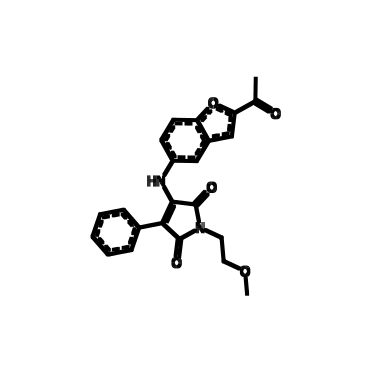 COCCN1C(=O)C(Nc2ccc3oc(C(C)=O)cc3c2)=C(c2ccccc2)C1=O